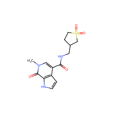 Cn1cc(C(=O)NCC2CCS(=O)(=O)C2)c2cc[nH]c2c1=O